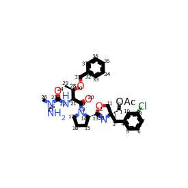 CC(=O)OC[C@@]1(Cc2cccc(Cl)c2)COC([C@@H]2CCCN2C(=O)[C@@H](NC(=O)N(C)N)[C@@H](C)OCc2ccccc2)=N1